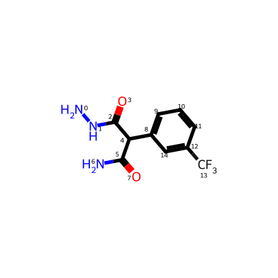 NNC(=O)C(C(N)=O)c1cccc(C(F)(F)F)c1